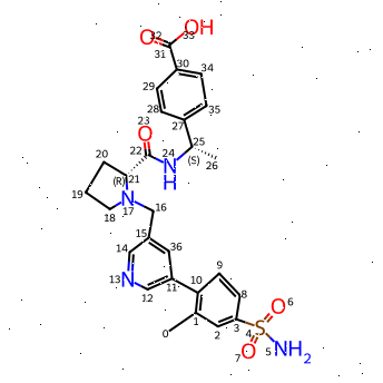 Cc1cc(S(N)(=O)=O)ccc1-c1cncc(CN2CCC[C@@H]2C(=O)N[C@@H](C)c2ccc(C(=O)O)cc2)c1